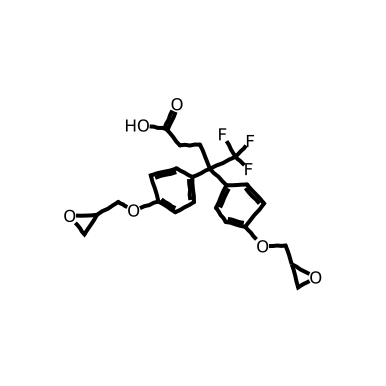 O=C(O)CCC(c1ccc(OCC2CO2)cc1)(c1ccc(OCC2CO2)cc1)C(F)(F)F